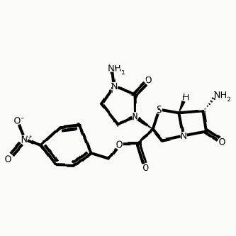 N[C@@H]1C(=O)N2C[C@@](C(=O)OCc3ccc([N+](=O)[O-])cc3)(N3CCN(N)C3=O)S[C@H]12